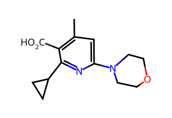 Cc1cc(N2CCOCC2)nc(C2CC2)c1C(=O)O